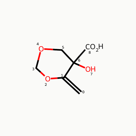 C=C1OCOCC1(O)C(=O)O